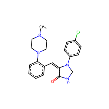 CN1CCN(c2ccccc2/C=C2\C(=O)NCN2c2ccc(Cl)cc2)CC1